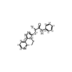 CCn1c(SC(F)C(=O)Nc2ccccc2)nnc1-c1cccnc1